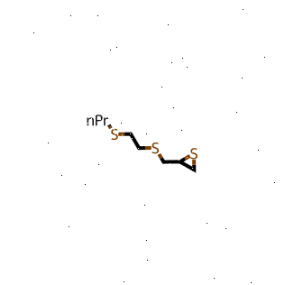 CCCSCCSCC1CS1